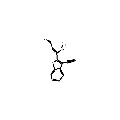 CN/C(=C\C=N)c1sc2ccccc2c1C#N